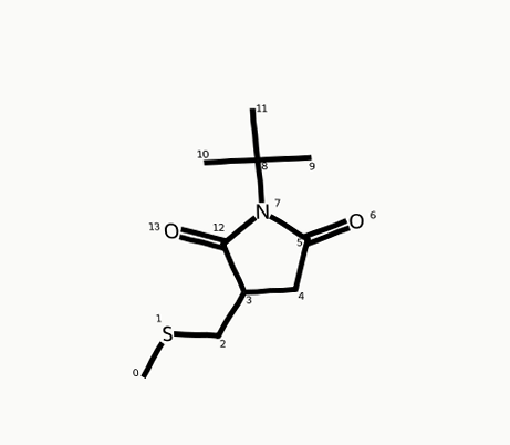 CSCC1CC(=O)N(C(C)(C)C)C1=O